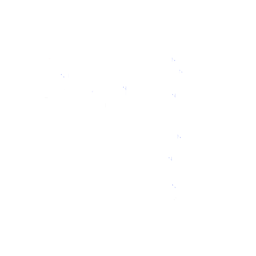 CCCC(/C=C(/C)NC=O)=C(/C)CNC(=O)c1cc(-c2ccc(N3CCN(C)CC3)nc2)nc2c1cnn2C(C)C